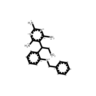 Nc1nc(N)c(C(C[N+](=O)[O-])c2ccccc2OCc2ccccc2)c(N)n1